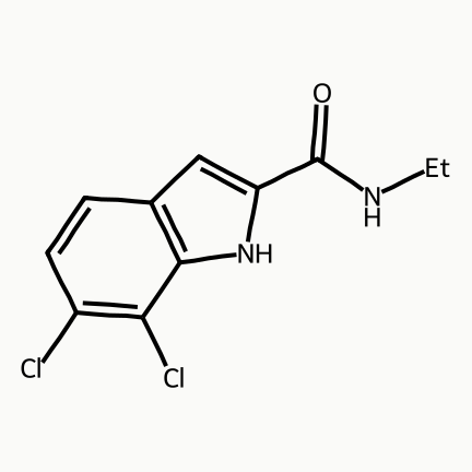 CCNC(=O)c1cc2ccc(Cl)c(Cl)c2[nH]1